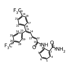 NC(=O)c1ccccc1NC(=O)/C=C/C=C(c1ccc(C(F)(F)F)cc1)c1ccc(C(F)(F)F)cc1